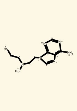 CN(CCS)CCn1cnc2c(N)ncnc21